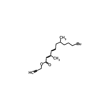 C#CCOC(=O)/C=C(C)/C=C/CC(C)CCCC(C)CC